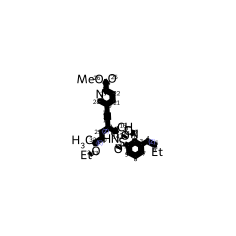 C=Nc1c(/C=C\CC)cccc1S(=O)(=O)NC(=C)/C(C#Cc1ccc(C(=O)OC)nc1)=C\C=C(/C)OCC